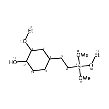 CCOC1CC(CC[Si](OC)(OC)OCC)CCC1O